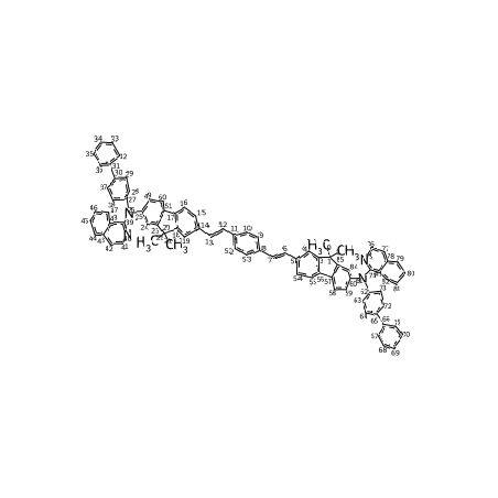 CC1(C)c2cc(/C=C/c3ccc(/C=C/c4ccc5c(c4)C(C)(C)c4cc(N(c6ccc(-c7ccccc7)cc6)c6nccc7ccccc67)ccc4-5)cc3)ccc2-c2ccc(N(c3ccc(-c4ccccc4)cc3)c3nccc4ccccc34)cc21